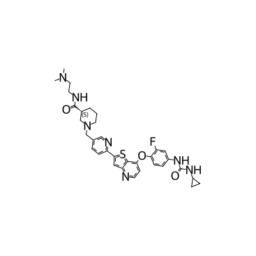 CN(C)CCNC(=O)[C@H]1CCCN(Cc2ccc(-c3cc4nccc(Oc5ccc(NC(=O)NC6CC6)cc5F)c4s3)nc2)C1